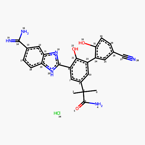 CC(C)(C(N)=O)c1cc(-c2nc3cc(C(=N)N)ccc3[nH]2)c(O)c(-c2cc(C#N)ccc2O)c1.Cl